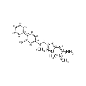 CC(Cc1cc(N=C(N)N(C)C)on1)c1ccc(-c2ccccc2)c(F)c1